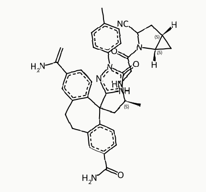 C=C(N)c1ccc2c(c1)CCc1cc(C(N)=O)ccc1C2(C[C@H](C)NCC(=O)N1C(C#N)C[C@@H]2C[C@@H]21)c1nn(-c2ccc(C)cc2)c(=O)[nH]1